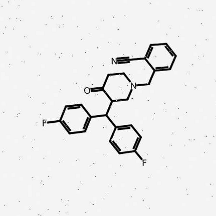 N#Cc1ccccc1CN1CCC(=O)C(C(c2ccc(F)cc2)c2ccc(F)cc2)C1